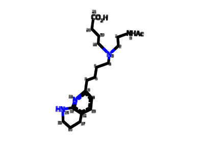 CC(=O)NCCN(CCCCc1ccc2c(n1)NCCC2)CCCC(=O)O